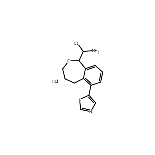 CCC(N)C1OCCCc2c(-c3cncs3)cccc21.Cl